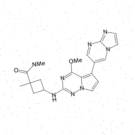 CNC(=O)C1(C)CC(Nc2nc(OC)c3c(-c4cnc5nccn5c4)ccn3n2)C1